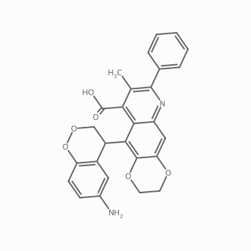 Cc1c(-c2ccccc2)nc2cc3c(c(C4COOc5ccc(N)cc54)c2c1C(=O)O)OCCO3